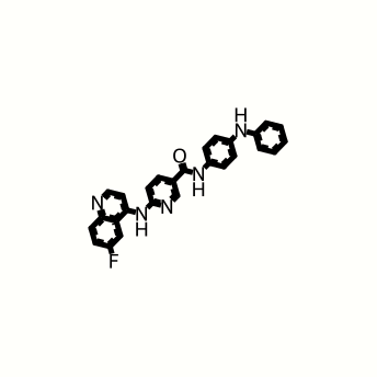 O=C(Nc1ccc(Nc2ccccc2)cc1)c1ccc(Nc2ccnc3ccc(F)cc23)nc1